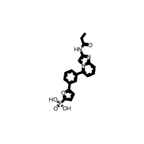 CCC(=O)Nc1cn2c(-c3cccc(-c4ccc(P(=O)(O)O)o4)c3)cccc2n1